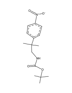 CC(C)(C)OC(=O)NCC(C)(C)c1ccc([N+](=O)[O-])cc1